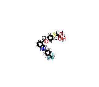 CC(Oc1ccc(SC(C)(C)C(=O)O)cc1)c1cccc2nn(-c3ccc(C(F)(F)F)cc3)cc12